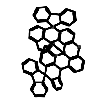 c1ccc2c(c1)-c1ccccc1C21c2ccccc2N2c3cccc4c3[N+]3(c5c(ccc6c5-n5c7c(cccc7c7ccc[n+]3c75)[Si]63c5ccccc5-c5ccccc53)O4)[n+]3cccc1c32